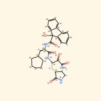 NC(=O)C(=O)[C@H](C[C@@H]1CCNC1=O)NC(=O)[C@@H](CC1CCCCC1)NC(=O)C1(O)c2ccccc2-c2ccccc21